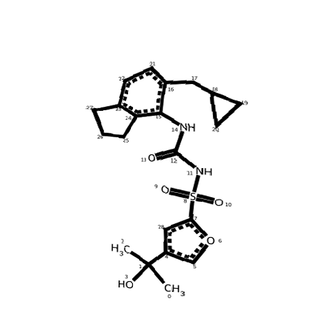 CC(C)(O)c1coc(S(=O)(=O)NC(=O)Nc2c(CC3CC3)ccc3c2CCC3)c1